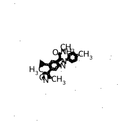 CNC(=O)c1c2cc(C3CC3)c(-c3c(C)noc3C)cc2nn1-c1ccc(C)cc1